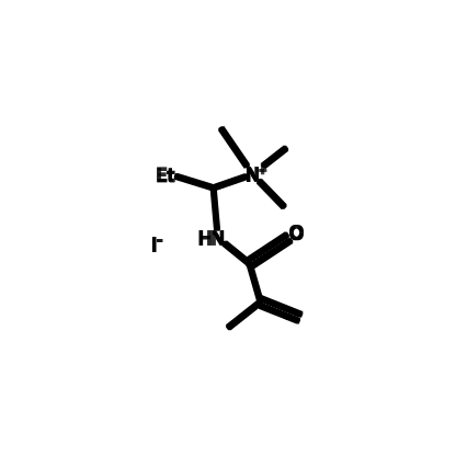 C=C(C)C(=O)NC(CC)[N+](C)(C)C.[I-]